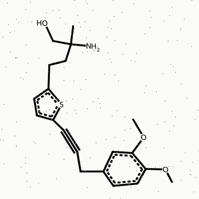 COc1ccc(CC#Cc2ccc(CCC(C)(N)CO)s2)cc1OC